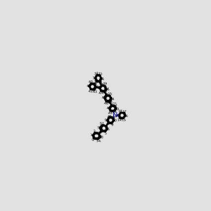 c1ccc(-c2ccc(-c3ccc(N(c4ccccc4)c4ccc(-c5ccc(-c6ccc(-c7ccccc7)c(-c7ccccc7)c6)cc5)cc4)cc3)cc2)cc1